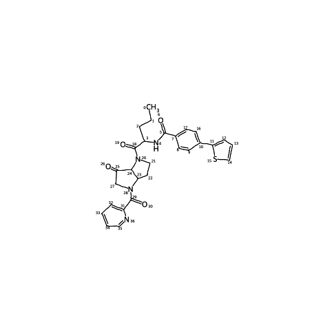 CCCC(NC(=O)c1ccc(-c2cccs2)cc1)C(=O)N1CCC2C1C(=O)CN2C(=O)c1ccccn1